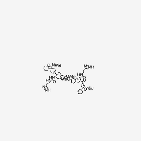 CCCCOC1(c2ccccc2)CN(C(=O)C(Cc2ccc(OC)cc2)NC(=O)NCCc2c[nH]cn2)C1.CNC(=O)C1(C2CCCCC2)CCN(C(=O)C(Cc2ccc(OC)cc2)NC(=O)NCCc2c[nH]cn2)CC1